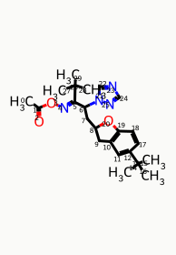 CC(=O)ON=C(C(CC1Cc2cc(C(C)(C)C)ccc2O1)n1cncn1)C(C)(C)C